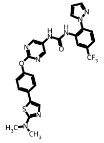 CN(C)c1ncc(-c2ccc(Oc3ncc(NC(=O)Nc4cc(C(F)(F)F)ccc4-n4cccn4)cn3)cc2)s1